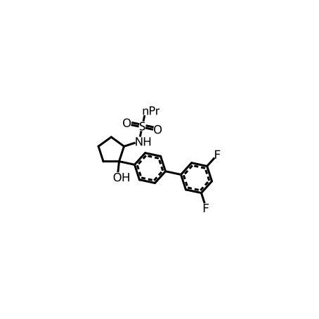 CCCS(=O)(=O)NC1CCCC1(O)c1ccc(-c2cc(F)cc(F)c2)cc1